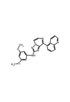 COc1cc(Nc2nc3c(-c4cccc5ncccc45)nccn3n2)cc(OC)c1